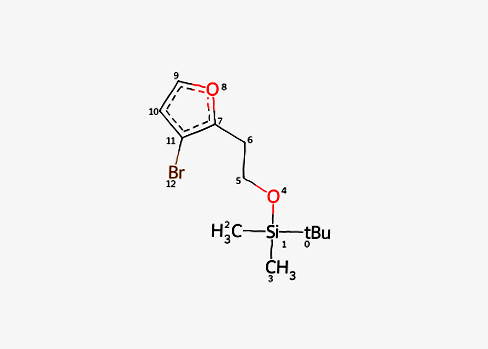 CC(C)(C)[Si](C)(C)OCCc1occc1Br